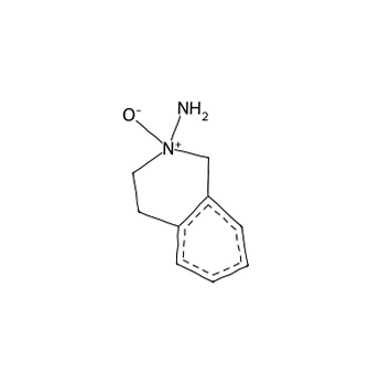 N[N+]1([O-])CCc2ccccc2C1